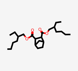 CCCCC(CC)COC(=O)C1C2CCC(C2)C1C(=O)OCC(CC)CCCC